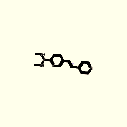 CNN(NC)c1ccc(/C=C/c2ccncc2)cn1